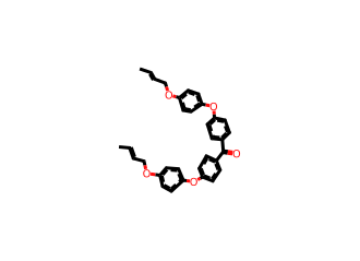 CC=CCOc1ccc(Oc2ccc(C(=O)c3ccc(Oc4ccc(OCC=CC)cc4)cc3)cc2)cc1